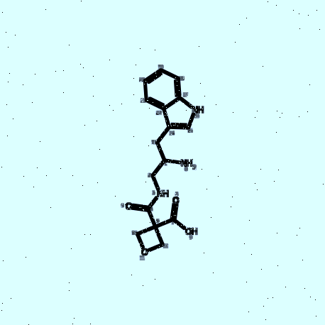 NC(CNC(=O)C1(C(=O)O)COC1)Cc1c[nH]c2ccccc12